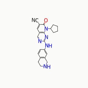 N#Cc1cc2cnc(Nc3ccc4c(c3)CNCC4)nc2n(C2CCCC2)c1=O